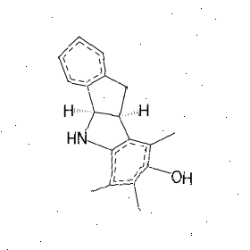 Cc1c(C)c2c(c(C)c1O)[C@@H]1Cc3ccccc3[C@@H]1N2